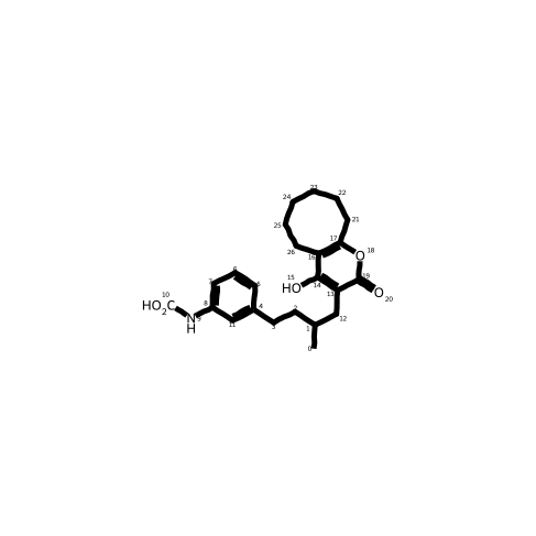 CC(CCc1cccc(NC(=O)O)c1)Cc1c(O)c2c(oc1=O)CCCCCC2